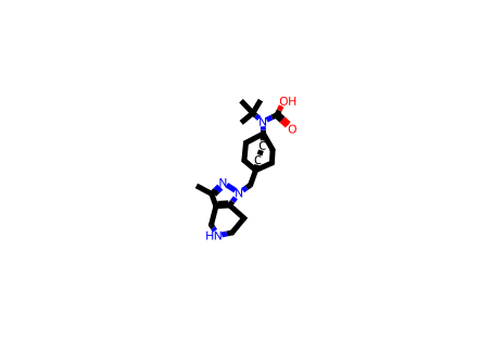 Cc1nn(CC23CCC(N(C(=O)O)C(C)(C)C)(CC2)CC3)c2c1CNCC2